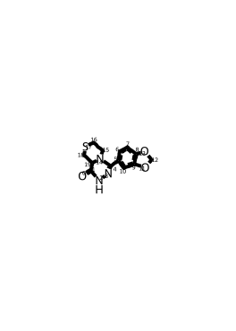 O=C1NN=C(c2ccc3c(c2)OCO3)N2CCSCC12